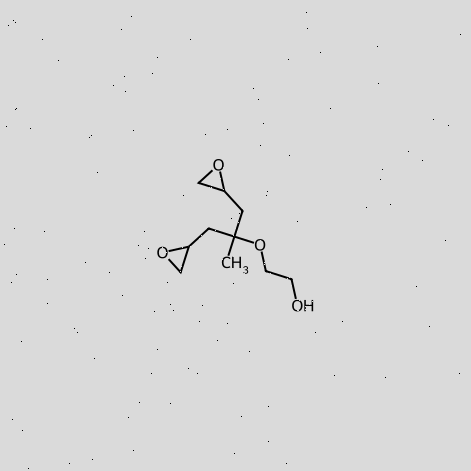 CC(CC1CO1)(CC1CO1)OCCO